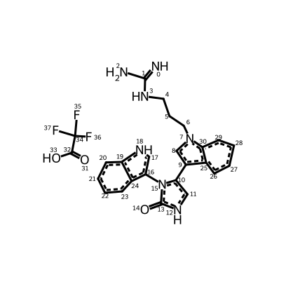 N=C(N)NCCCn1cc(-c2c[nH]c(=O)n2-c2c[nH]c3ccccc23)c2ccccc21.O=C(O)C(F)(F)F